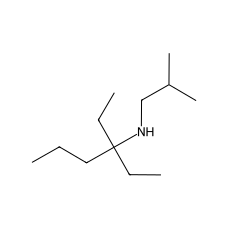 CCCC(CC)(CC)NCC(C)C